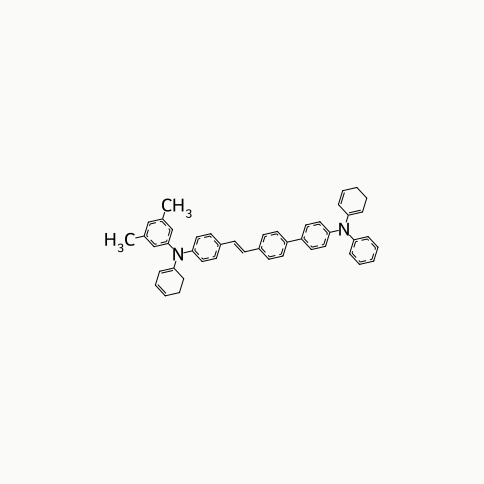 Cc1cc(C)cc(N(C2=CC=CCC2)c2ccc(/C=C/c3ccc(-c4ccc(N(C5=CCCC=C5)c5ccccc5)cc4)cc3)cc2)c1